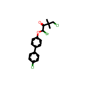 CC(C)(CCl)C(=O)C(Br)Oc1ccc(-c2ccc(Cl)cc2)cc1